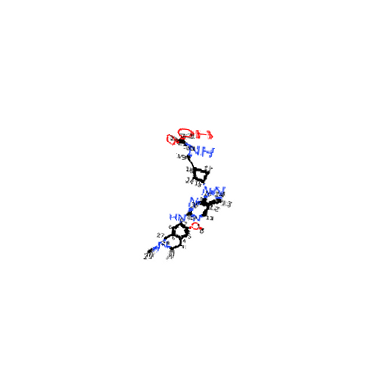 COc1cc2c(cc1Nc1ncc3cnn([C@H]4C[C@H](CNC(=O)O)C4)c3n1)CN(C)CC2